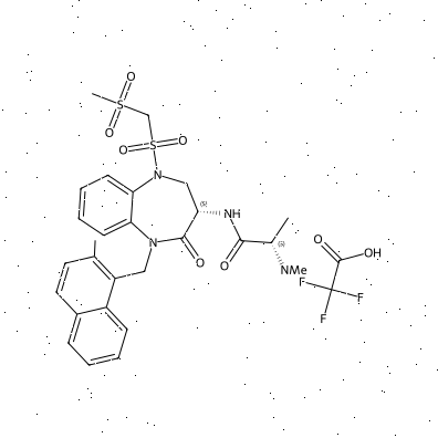 CN[C@@H](C)C(=O)N[C@H]1CN(S(=O)(=O)CS(C)(=O)=O)c2ccccc2N(Cc2c(C)ccc3ccccc23)C1=O.O=C(O)C(F)(F)F